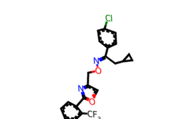 FC(F)(F)c1ccccc1-c1nc(CO/N=C(\CC2CC2)c2ccc(Cl)cc2)co1